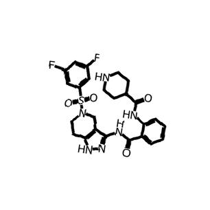 O=C(Nc1n[nH]c2c1CN(S(=O)(=O)c1cc(F)cc(F)c1)CC2)c1ccccc1NC(=O)C1CCNCC1